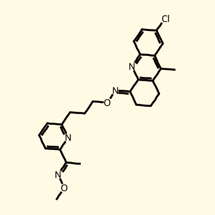 CO/N=C(\C)c1cccc(CCCO/N=C2\CCCc3c2nc2ccc(Cl)cc2c3C)n1